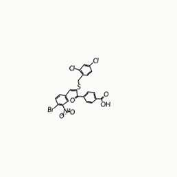 O=C(O)c1ccc(C(=O)/C(=C\c2ccc(Br)c([N+](=O)[O-])c2)SCc2ccc(Cl)cc2Cl)cc1